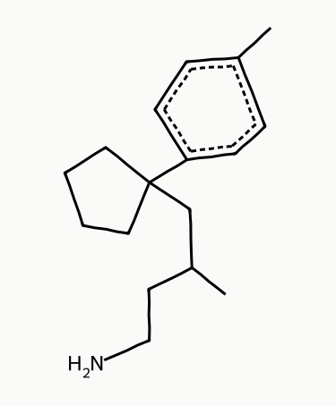 Cc1ccc(C2(CC(C)CCN)CCCC2)cc1